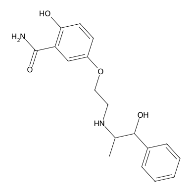 CC(NCCOc1ccc(O)c(C(N)=O)c1)C(O)c1ccccc1